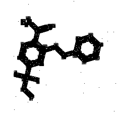 CCC(C)(C)c1ccc(C(N)=O)c(CCc2ccccc2)c1